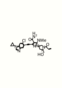 C=CC(=O)N1C[C@@H](n2nc(C#Cc3cc4ncn(C5CC5)c4cc3Cl)c(C(N)=O)c2NC)C[C@@H]1CO